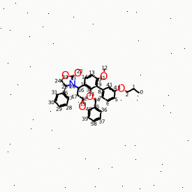 CCCOc1cccc(-c2c(OC)ccc(C(CC=O)N3C(=O)OC[C@@H]3c3ccccc3)c2OCc2ccccc2)c1